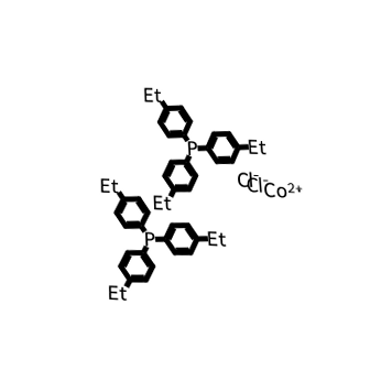 CCc1ccc(P(c2ccc(CC)cc2)c2ccc(CC)cc2)cc1.CCc1ccc(P(c2ccc(CC)cc2)c2ccc(CC)cc2)cc1.[Cl-].[Cl-].[Co+2]